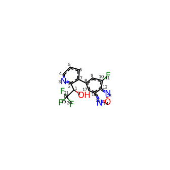 OC(c1ncccc1-c1cc(F)c2nonc2c1)C(F)(F)F